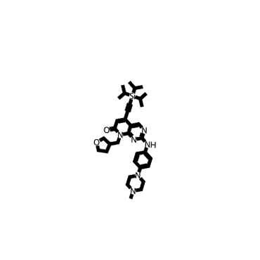 CC(C)[Si](C#Cc1cc(=O)n(CC2CCOC2)c2nc(Nc3ccc(N4CCN(C)CC4)cc3)ncc12)(C(C)C)C(C)C